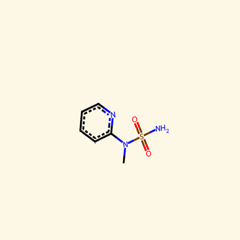 CN(c1[c]cccn1)S(N)(=O)=O